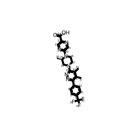 Cc1c(-c2ccc(C(F)(F)F)cc2)nnc(N2CCN(c3cnc(C(=O)O)cn3)[C@H](C)C2)c1C